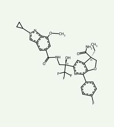 CC[C@]1(C(N)=O)COc2c1cc([C@@](O)(CNC(=O)c1cc(OC)c3nn(C4CC4)cc3c1)C(F)(F)F)nc2-c1ccc(F)cc1